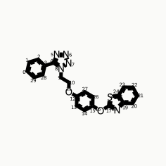 c1ccc(-c2nnnn2CCOc2ccc(Oc3nc4ccccc4s3)cc2)cc1